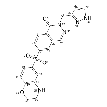 O=c1c2ccc(S(=O)(=O)c3ccc4c(c3)NCCO4)cc2cnn1Cc1cc[nH]n1